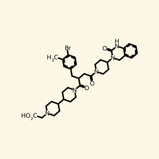 Cc1cc(CC(CC(=O)N2CCC(N3Cc4ccccc4NC3=O)CC2)C(=O)N2CCC(C3CCN(CC(=O)O)CC3)CC2)ccc1Br